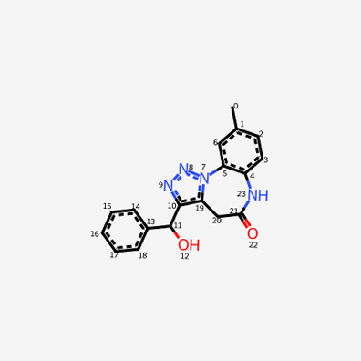 Cc1ccc2c(c1)-n1nnc(C(O)c3ccccc3)c1CC(=O)N2